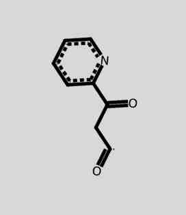 O=[C]CC(=O)c1ccccn1